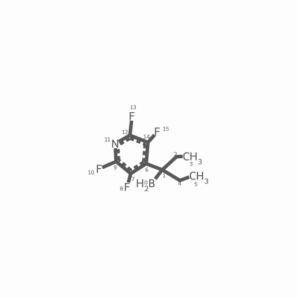 BC(CC)(CC)c1c(F)c(F)nc(F)c1F